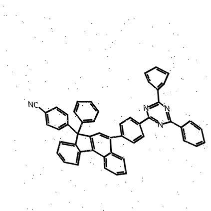 N#Cc1ccc(C2(c3ccccc3)c3ccccc3-c3c2cc(-c2ccc(-c4nc(-c5ccccc5)nc(-c5ccccc5)n4)cc2)c2ccccc32)cc1